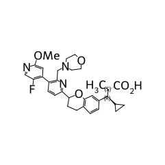 COc1cc(-c2ccc(C3CCc4ccc([C@H](C5CC5)[C@H](C)C(=O)O)cc4O3)nc2CN2CCOCC2)c(F)cn1